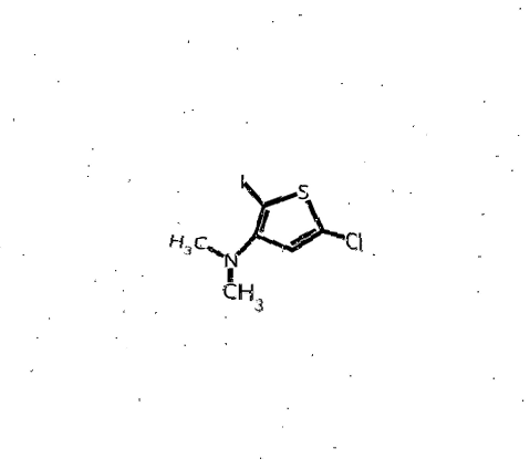 CN(C)c1cc(Cl)sc1I